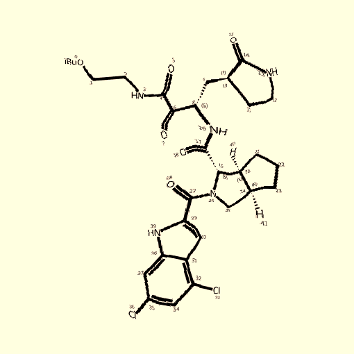 CC(C)COCCNC(=O)C(=O)[C@H](C[C@@H]1CCNC1=O)NC(=O)[C@@H]1[C@H]2CCC[C@H]2CN1C(=O)c1cc2c(Cl)cc(Cl)cc2[nH]1